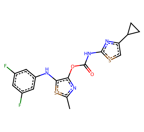 Cc1nc(OC(=O)Nc2nc(C3CC3)cs2)c(Nc2cc(F)cc(F)c2)s1